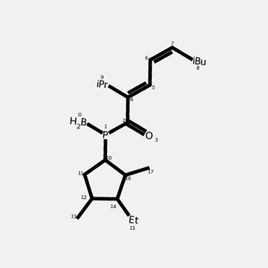 BP(C(=O)/C(=C/C=C\C(C)CC)C(C)C)C1CC(C)C(CC)C1C